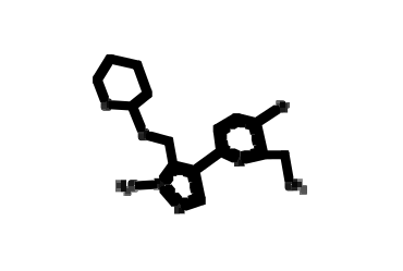 CCc1nc(-c2cnn(C)c2COC2CCCCO2)ccc1Br